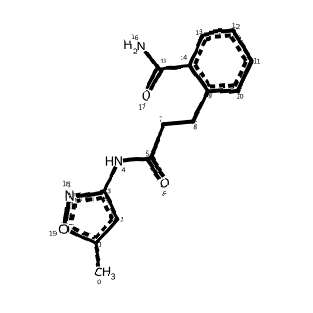 Cc1cc(NC(=O)C[CH]c2ccccc2C(N)=O)no1